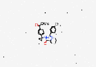 COC(=O)c1ccc(C2(NC(=O)C3CCCCN3Cc3ccc(C(F)(F)F)cc3)CC2)cc1